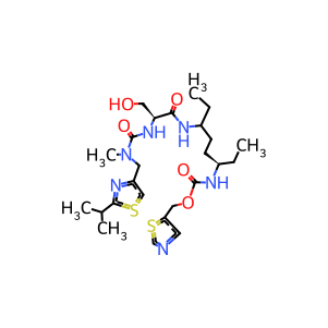 CCC(CC[C@@H](CC)NC(=O)OCc1cncs1)NC(=O)[C@H](CO)NC(=O)N(C)Cc1csc(C(C)C)n1